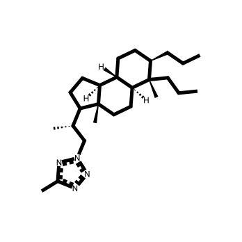 CCC[C@@H]1CC[C@@H]2[C@H](CC[C@]3(C)C([C@@H](C)Cn4nnc(C)n4)CC[C@@H]23)[C@@]1(C)CCC